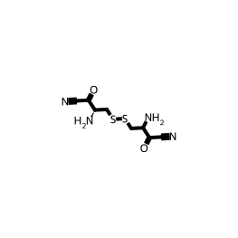 N#CC(=O)C(N)CSSC[C@H](N)C(=O)C#N